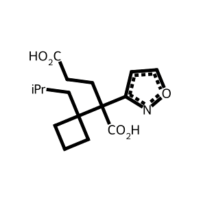 CC(C)CC1(C(CCC(=O)O)(C(=O)O)c2ccon2)CCC1